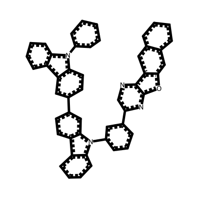 c1ccc(-n2c3ccccc3c3cc(-c4ccc5c6ccccc6n(-c6cccc(-c7cnc8c(n7)oc7cc9ccccc9cc78)c6)c5c4)ccc32)cc1